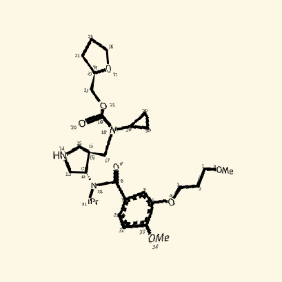 COCCCOc1cc(C(=O)N(C(C)C)[C@@H]2CNC[C@H]2CN(C(=O)OC[C@H]2CCCO2)C2CC2)ccc1OC